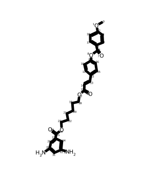 COc1ccc(C(=O)Oc2ccc(/C=C/C(=O)OCCCCCCOC(=O)c3cc(N)cc(N)c3)cc2)cc1